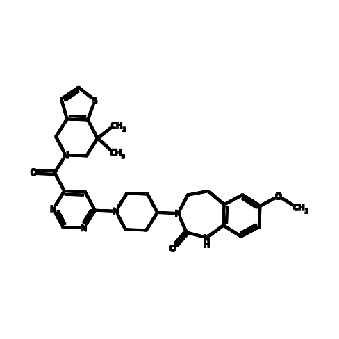 COc1ccc2c(c1)CCN(C1CCN(c3cc(C(=O)N4Cc5ccsc5C(C)(C)C4)ncn3)CC1)C(=O)N2